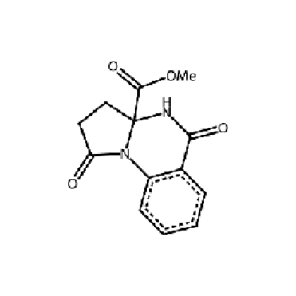 COC(=O)C12CCC(=O)N1c1ccccc1C(=O)N2